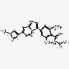 COc1cc(-c2cnc3cc(-c4cnn(C)c4)ccn23)cc(OC)c1C(=O)NC(C(C)C)C(F)(F)F